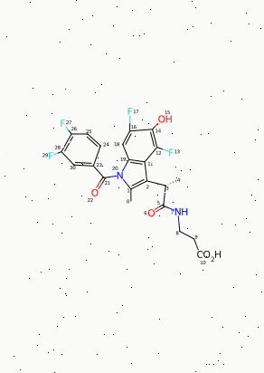 Cc1c([C@H](C)C(=O)NCCC(=O)O)c2c(F)c(O)c(F)cc2n1C(=O)c1ccc(F)c(F)c1